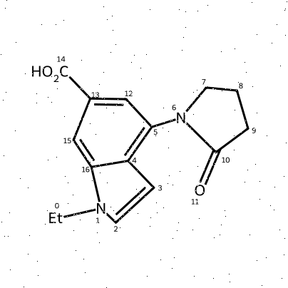 CCn1ccc2c(N3CCCC3=O)cc(C(=O)O)cc21